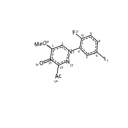 COc1cn(-c2cc(I)ccc2F)nc(C(C)=O)c1=O